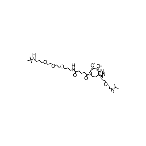 CO[C@H]1CN(C(=O)CCCC(=O)NCCCOCCOCCOCCCNC(C)(C)C)CCc2c(nnn2CCOCCN(C)C(C)C)[C@@H]1OC